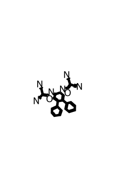 N#CC(C#N)=c1nc2c(o1)c(-c1ccccc1)c(-c1ccccc1)c1oc(=C(C#N)C#N)nc12